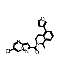 CC1c2cccc(-c3ccoc3)c2CCN1C(=O)c1cc2ncc(Cl)cn2n1